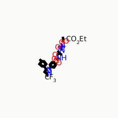 CCOC(=O)OC(C)ON=[N+]([O-])N(C)C(C)(C)C(=O)NS(=O)(=O)c1ccc(-n2nc(C(F)(F)F)cc2-c2ccc(C)cc2)cc1